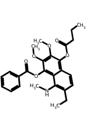 CCCC(=O)Oc1c(OC)c(OC)c(OC(=O)c2ccccc2)c2c(NC)c(CC)ccc12